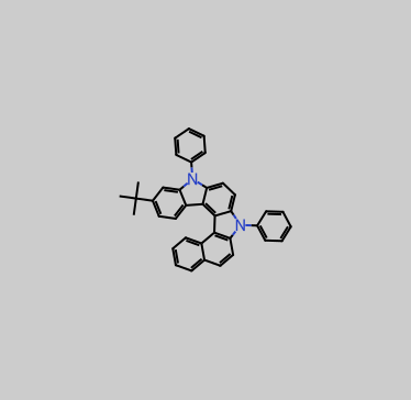 CC(C)(C)c1ccc2c3c4c5c6ccccc6ccc5n(-c5ccccc5)c4ccc3n(-c3ccccc3)c2c1